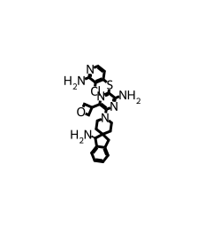 Nc1nc(N2CCC3(CC2)Cc2ccccc2[C@H]3N)c(C2COC2)nc1Sc1ccnc(N)c1Cl